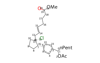 CCCCCC(OC(C)=O)c1ccc([C@@H]2CCC[C@@]2(Cl)CC=CCCCC(=O)OC)cc1